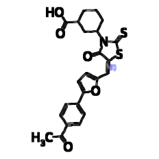 CC(=O)c1ccc(-c2ccc(/C=C3/SC(=S)N(C4CCCC(C(=O)O)C4)C3=O)o2)cc1